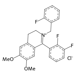 COc1cc2c(cc1OC)C(c1cccc(F)c1F)=[N+](Cc1ccccc1F)CC2.[Cl-]